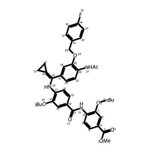 CCCCOc1cc(C(=O)OC)ccc1NC(=O)c1ccc(NC(=C2CC2)c2ccc(NC(C)=O)c(OCc3ccc(F)cc3)c2)c(OCC(C)C)c1